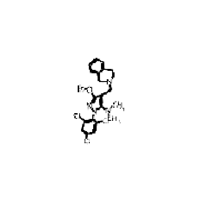 CCOc1nn(-c2c(Cl)cc(Cl)cc2Cl)c(N(C)C)c1CN1[CH]Cc2ccccc2C1